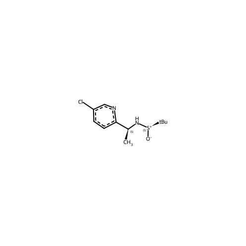 C[C@H](N[S@+]([O-])C(C)(C)C)c1ccc(Cl)cn1